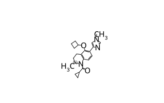 C[C@H]1CCc2c(ccc(-c3cn(C)cn3)c2OC2CCC2)N1C(=O)C1CC1